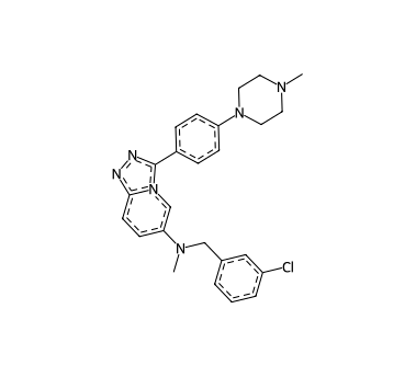 CN1CCN(c2ccc(-c3nnc4ccc(N(C)Cc5cccc(Cl)c5)cn34)cc2)CC1